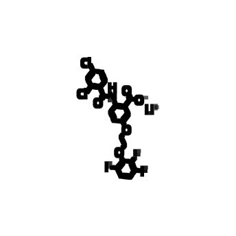 O=C(Nc1ccc(OCCOc2c(F)ccc(F)c2F)cc1C(=O)[O-])c1ccc(Cl)cc1Cl.[Li+]